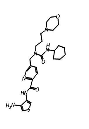 Nc1cscc1NC(=O)c1ccc(CN(CCCN2CCOCC2)C(=O)NC2CCCCC2)cn1